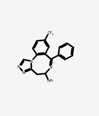 CCCC1Cc2nncn2-c2ccc(C(F)(F)F)cc2/C(c2ccccc2)=N\1